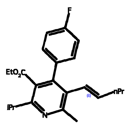 CCC/C=C/c1c(C)nc(C(C)C)c(C(=O)OCC)c1-c1ccc(F)cc1